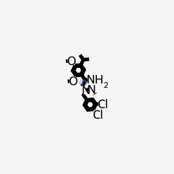 C=NN(/C=C(\N)c1cc(C(C)C)c(OC)cc1OC)Cc1ccc(Cl)c(Cl)c1